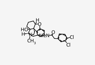 CN1CC[C@]23c4c5cccc4O[C@H]2CCC[C@@]3(O)[C@H]1C5.CNC(=O)Cc1ccc(Cl)c(Cl)c1